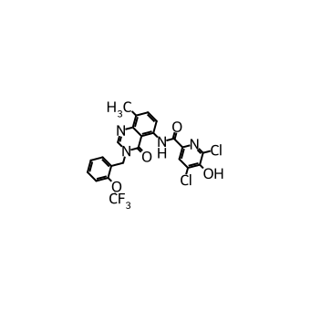 Cc1ccc(NC(=O)c2cc(Cl)c(O)c(Cl)n2)c2c(=O)n(Cc3ccccc3OC(F)(F)F)cnc12